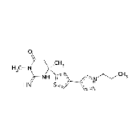 CCCn1cc(-c2csc([C@]3(C)CC(=O)N(C)C(=N)N3)c2)cn1